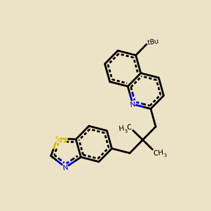 CC(C)(Cc1ccc2scnc2c1)Cc1ccc2c(C(C)(C)C)cccc2n1